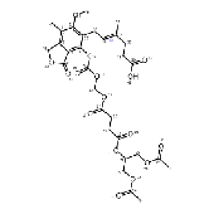 COc1c(C)c2c(c(OC(=O)OCOC(=O)CCC(=O)OC(COC(C)=O)COC(C)=O)c1C/C=C(\C)CCC(=O)O)C(=O)OC2